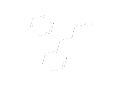 [CH]CCC(c1ccccc1)c1ccccc1